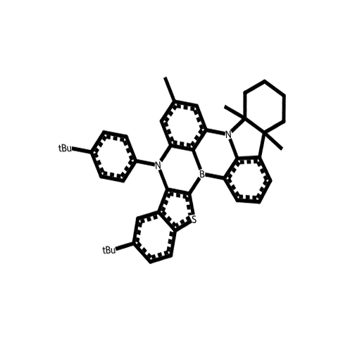 Cc1cc2c3c(c1)N1c4c(cccc4C4(C)CCCCC14C)B3c1sc3ccc(C(C)(C)C)cc3c1N2c1ccc(C(C)(C)C)cc1